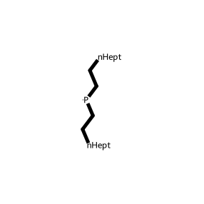 CCCCCCCCC[P]CCCCCCCCC